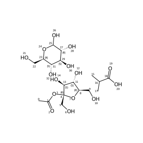 CC(=O)O[C@@]1(CO)O[C@H](CO)[C@@H](O)[C@@H]1O.CC(C)C(=O)O.OC[C@H]1OC(O)[C@H](O)[C@@H](O)[C@@H]1O